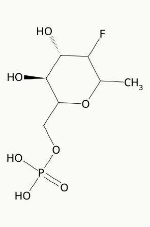 CC1OC(COP(=O)(O)O)[C@@H](O)[C@H](O)C1F